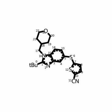 CC(C)(C)c1nc2cc(Sc3ccc(C#N)s3)ccc2n1CC1CCOCC1